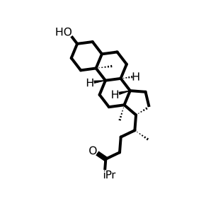 CC(C)C(=O)CC[C@@H](C)[C@H]1CC[C@H]2[C@@H]3CCC4CC(O)CC[C@]4(C)[C@H]3CC[C@]12C